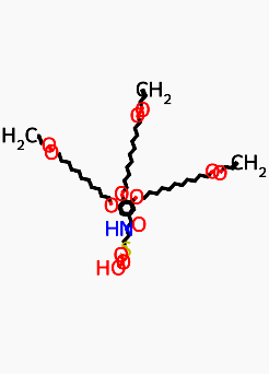 C=CCOOCCCCCCCCCCCOc1cc(C(=O)NCCSOOO)cc(OCCCCCCCCCCCOOCC=C)c1OCCCCCCCCCCCOOCC=C